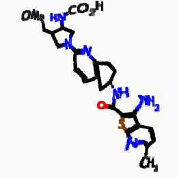 COCC1CN(c2ccc3c(n2)CC[C@H](NC(=O)c2sc4nc(C)ccc4c2N)C3)CC1NC(=O)O